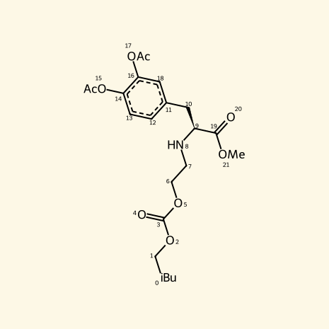 CCC(C)COC(=O)OCCN[C@@H](Cc1ccc(OC(C)=O)c(OC(C)=O)c1)C(=O)OC